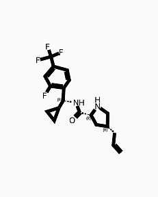 C=CC[C@H]1CN[C@@H](C(=O)N[C@@H](c2ccc(C(F)(F)F)cc2F)C2CC2)C1